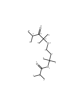 CC(C)C(=O)OC(C)(C)CCOC(C)(C)C(=O)C(C)C